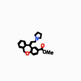 COC(=O)c1ccc2c(c1)C(=CCN1CCCC1)c1ccccc1CO2